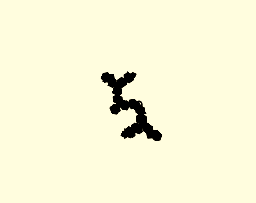 C=Cc1ccc(-c2ccc(N(c3ccc(-c4ccc5oc6ccc(-c7ccc8c(c7)-c7cc(-c9ccc(N(c%10ccc(C%11=CCC(C=C)C=C%11)cc%10)c%10ccc%11c(c%10)C(C)(C)c%10ccccc%10-%11)cc9)ccc7C8c7ccccc7)cc6c5c4)cc3)c3ccc4c(c3)C(C)(C)c3ccccc3-4)cc2)cc1